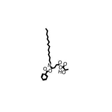 CCCCCCCCCCCCCCN=C(CCC(=O)OC(=O)C(C)O)OC(=O)c1ccccc1